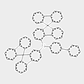 c1ccc(-c2ccc(N(c3ccc4c(c3)C3(c5ccccc5-c5ccccc53)c3ccccc3-4)c3cccc4c3-c3ccccc3C43c4ccccc4-c4ccccc43)cc2)cc1